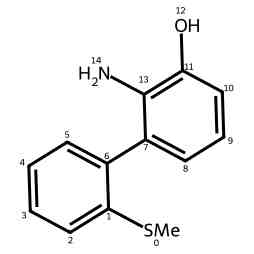 CSc1ccccc1-c1cccc(O)c1N